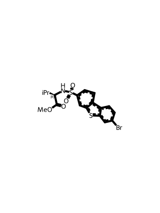 COC(=O)[C@H](NS(=O)(=O)c1ccc2c(c1)sc1cc(Br)ccc12)C(C)C